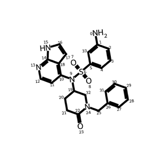 Nc1cccc(S(=O)(=O)N(c2ccnc3[nH]ccc23)C2CCC(=O)N(Cc3ccccc3)C2)c1